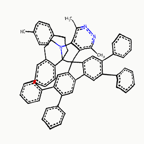 Cc1nnc(C)c2c1N1CCc3ccccc3C1(CCc1ccc(C#N)cc1)C21c2cc(-c3ccccc3)c(-c3ccccc3)cc2-c2cc(-c3ccccc3)c(-c3ccccc3)cc21